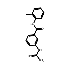 Cc1[c]cccc1NC(=O)c1cccc(NC(=N)N)c1